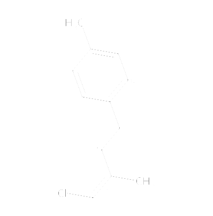 C/C(=C/Cl)CCc1ccc(C)cc1